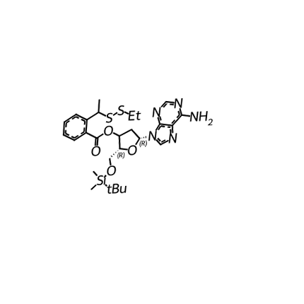 CCSSC(C)c1ccccc1C(=O)OC1C[C@H](n2cnc3c(N)ncnc32)O[C@@H]1CO[Si](C)(C)C(C)(C)C